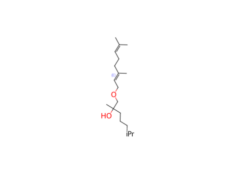 CC(C)=CCC/C(C)=C/COCC(C)(O)CCCC(C)C